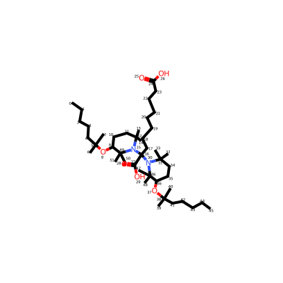 CCCCCC(C)(C)OC1CCC(C)(C)N(C(CCCCCCCC(=O)O)(C(=O)O)N2C(C)(C)CCC(OC(C)(C)CCCCC)C2(C)C)C1(C)C